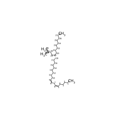 CCCCC/C=C\C/C=C\CCCCCCCCC[C@@H](CCCCCCCCC)CCN(C)C